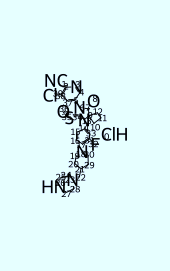 Cl.N#Cc1ncc(N2C(=O)C3(CCC3)N(c3ccc(N4CCC(CN5CCNCC5)CC4)c(F)c3)C2=S=O)cc1Cl